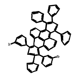 Brc1cccc(-c2cc(-c3ccccc3)c(-c3cccc(Br)c3)c3c4cccc5c6c(-c7ccccc7)cc(-c7ccccc7)c(-c7ccccc7)c6c6cccc(c23)c6c54)c1